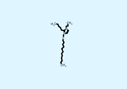 CCCCCCCCCCCCCC[n+]1ccn(CCC)c1CCCCC